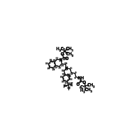 CC(C)(C)OC(=O)NCCCCN(Cc1ccc(C(F)(F)F)cn1)CC1Cc2ccccc2CN1C(=O)OC(C)(C)C